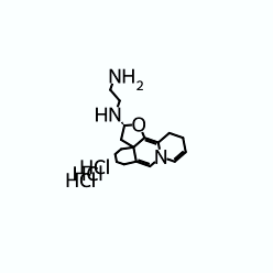 Cl.Cl.Cl.NCCN[C@H]1CC23CCCCC2=CN2C=CCCC2=C3O1